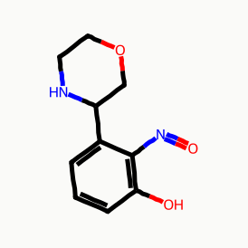 O=Nc1c(O)cccc1C1COCCN1